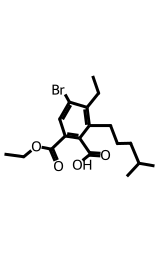 CCOC(=O)c1cc(Br)c(CC)c(CCCC(C)C)c1C(=O)O